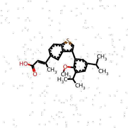 COc1c(-c2csc3ccc(/C(C)=C/C(=O)O)cc23)cc(C(C)C)cc1C(C)C